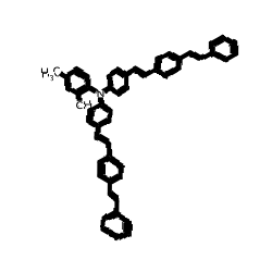 Cc1ccc(N(c2ccc(/C=C/c3ccc(/C=C/c4ccccc4)cc3)cc2)c2ccc(/C=C/c3ccc(/C=C/c4ccccc4)cc3)cc2)c(C)c1